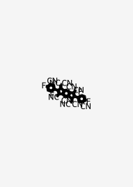 N#CC(C#N)=C1C(c2cc(C#N)c(F)cc2F)=C(C#N)c2c(C#N)c3c(c(C#N)c21)C(C#N)=C(c1cc(C#N)c(F)cc1F)C3=C(C#N)C#N